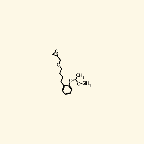 CC(O[SiH3])Oc1ccccc1CCCCOCC1CO1